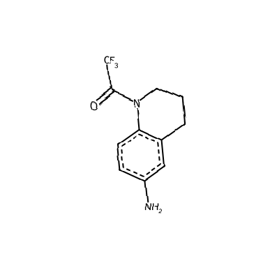 Nc1ccc2c(c1)CCCN2C(=O)C(F)(F)F